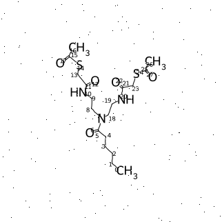 CCCCCC(=O)N(CCNC(=O)CSC(C)=O)CCNC(=O)CSC(C)=O